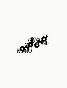 CNC(=O)C1c2cc([C@H]3CCCN(C(=O)c4c[nH]c5cc(F)ccc45)C3)c(N(C)S(C)(=O)=O)cc2OC1c1ccc(F)cc1